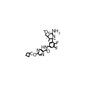 COC[C@@]1(C)SC(N)=N[C@](C)(c2cc(NC(=O)c3cnc(OCC4CCC4)cn3)cc(F)c2F)C1C